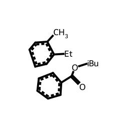 CCC(C)OC(=O)c1ccccc1.CCc1ccccc1C